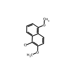 COc1ccc2c(OC)cccc2c1Cl